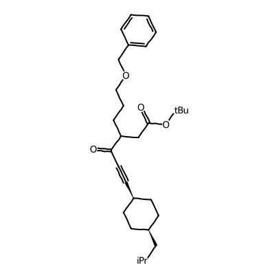 CC(C)C[C@H]1CC[C@@H](C#CC(=O)C(CCCOCc2ccccc2)CC(=O)OC(C)(C)C)CC1